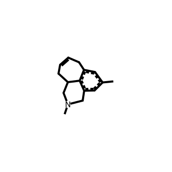 Cc1cc2c3c(c1)CN(C)CC3CC=CC2